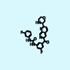 O=C(Nc1cccc(F)c1)Nc1cc(F)cc(C(=O)c2cc3ccc(C4COCCN4)nc3cn2)c1